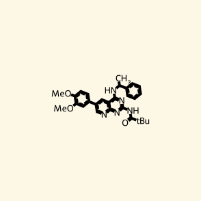 COc1ccc(-c2cnc3nc(NC(=O)C(C)(C)C)nc(NC(C)c4ccccc4)c3c2)cc1OC